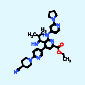 CCOC(=O)c1cc(-c2ccc(N3CCC(C#N)CC3)nc2)c(C(=N)C(C)C)c(Nc2ccnc(N3CCCC3)c2)n1